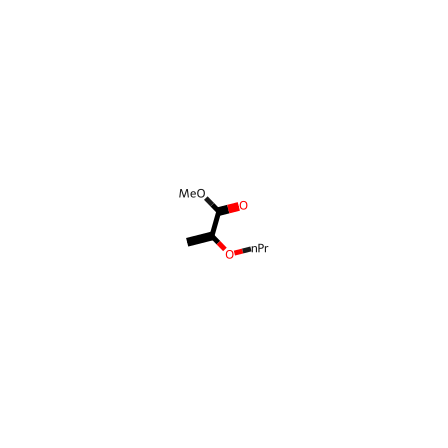 C=C(OCCC)C(=O)OC